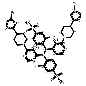 CC(C)c1noc(C2CCN(c3ncnc(N(c4ccc(S(C)(=O)=O)cc4F)N(c4ccc(S(C)(=O)=O)cc4F)c4ncnc(N5CCC(c6cn(C(C)C)cn6)CC5)c4[N+](=O)[O-])c3[N+](=O)[O-])CC2)n1